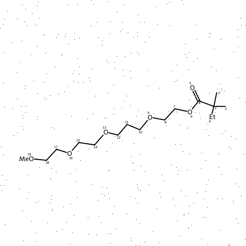 CCC(C)(C)C(=O)OCCOCCCOCCOCCOC